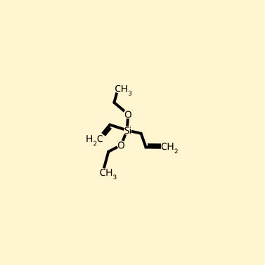 C=CC[Si](C=C)(OCC)OCC